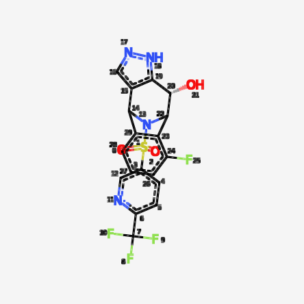 O=S(=O)(c1ccc(C(F)(F)F)nc1)N1C2c3cn[nH]c3[C@H](O)C1c1c(F)cccc12